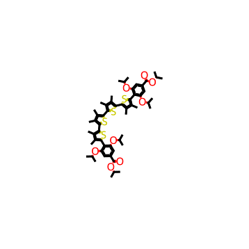 Cc1c(-c2sc(-c3sc(-c4c(OC(C)C)cc(C(=O)OC(C)C)cc4OC(C)C)c(C)c3C)c(C)c2C)sc(-c2sc(-c3c(OC(C)C)cc(C(=O)OC(C)C)cc3OC(C)C)c(C)c2C)c1C